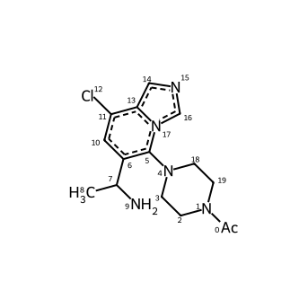 CC(=O)N1CCN(c2c(C(C)N)cc(Cl)c3cncn23)CC1